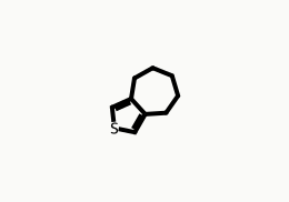 c1scc2c1CCCCC2